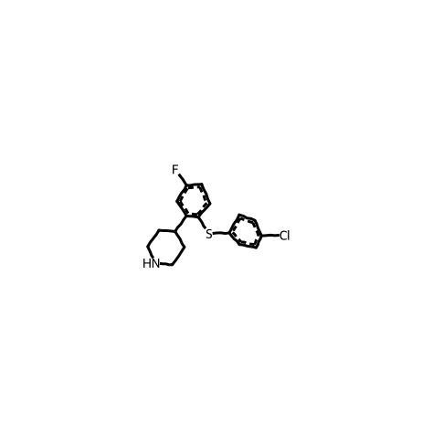 Fc1ccc(Sc2ccc(Cl)cc2)c(C2CCNCC2)c1